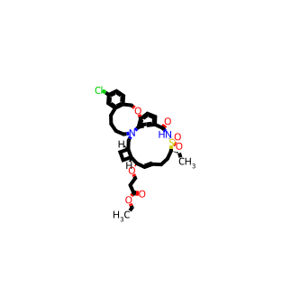 CCOC(=O)CCO[C@H]1/C=C/CC[C@@H](CC)S(=O)(=O)NC(=O)c2ccc3c(c2)N(CCCCc2cc(Cl)ccc2CO3)C[C@@H]2CC[C@H]21